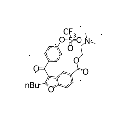 CCCCc1oc2ccc(C(=O)OCCN(C)C)cc2c1C(=O)c1ccc(OS(=O)(=O)C(F)(F)F)cc1